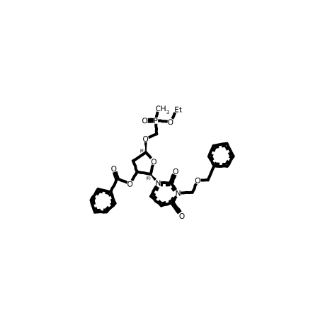 CCOP(C)(=O)CO[C@@H]1CC(OC(=O)c2ccccc2)[C@H](n2ccc(=O)n(COCc3ccccc3)c2=O)O1